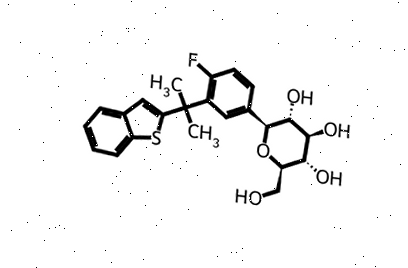 CC(C)(c1cc2ccccc2s1)c1cc([C@@H]2O[C@H](CO)[C@@H](O)[C@H](O)[C@H]2O)ccc1F